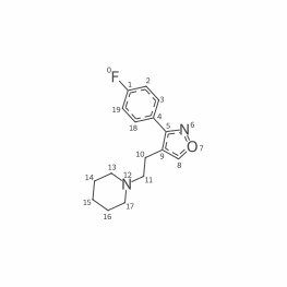 Fc1ccc(-c2nocc2CCN2CCCCC2)cc1